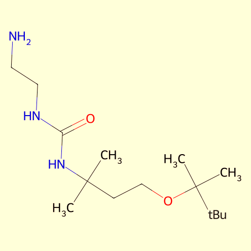 CC(C)(CCOC(C)(C)C(C)(C)C)NC(=O)NCCN